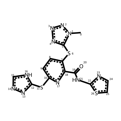 Cn1nnnc1Sc1ccc(Sc2nnc[nH]2)nc1C(=O)Nc1nccs1